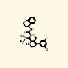 CN(C)C1=C2NC=CC(c3cc(Cl)cc(Cl)c3)=C2C=NN1C(=O)N[C@H]1CCOc2ccccc21